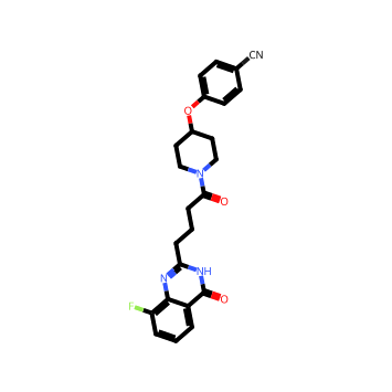 N#Cc1ccc(OC2CCN(C(=O)CCCc3nc4c(F)cccc4c(=O)[nH]3)CC2)cc1